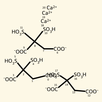 O=C([O-])CC(C(=O)[O-])(S(=O)(=O)O)S(=O)(=O)O.O=C([O-])CC(C(=O)[O-])(S(=O)(=O)O)S(=O)(=O)O.O=C([O-])CC(C(=O)[O-])(S(=O)(=O)O)S(=O)(=O)O.[Ca+2].[Ca+2].[Ca+2]